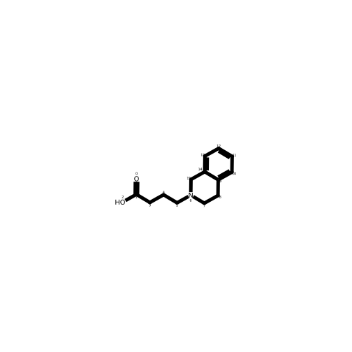 O=C(O)CCCN1CCc2ccccc2C1